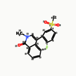 CCS(=O)(=O)c1ccc(F)c(-c2cn(C)c(=O)c3ccccc23)c1